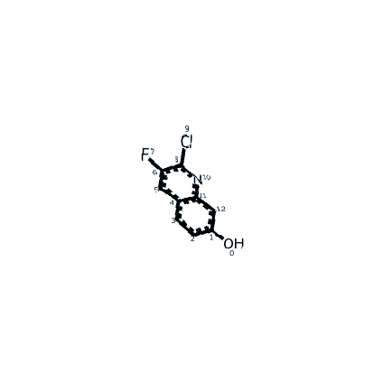 Oc1ccc2cc(F)c(Cl)nc2c1